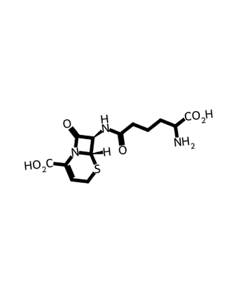 NC(CCCC(=O)N[C@@H]1C(=O)N2C(C(=O)O)=CCS[C@@H]12)C(=O)O